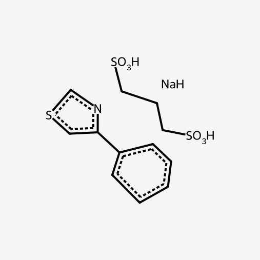 O=S(=O)(O)CCCS(=O)(=O)O.[NaH].c1ccc(-c2cscn2)cc1